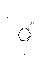 C[C@@H]1C=CCCC1